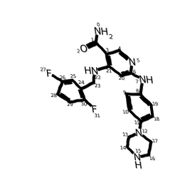 NC(=O)c1cnc(Nc2ccc(N3CCNCC3)cc2)cc1NCc1cc(F)ccc1F